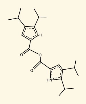 CC(C)c1cc(C(=O)OC(=O)c2cc(C(C)C)c(C(C)C)[nH]2)[nH]c1C(C)C